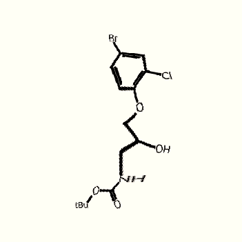 CC(C)(C)OC(=O)NCC(O)COc1ccc(Br)cc1Cl